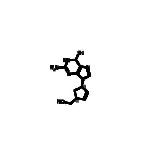 NC1=Nc2c(ncn2[C@H]2C=C[C@@H](CO)C2)C(S)N1